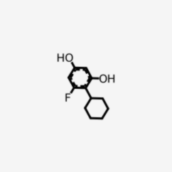 Oc1cc(O)c(C2CCCCC2)c(F)c1